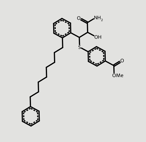 COC(=O)c1ccc(SC(c2ccccc2CCCCCCCCc2ccccc2)C(O)C(N)=O)cc1